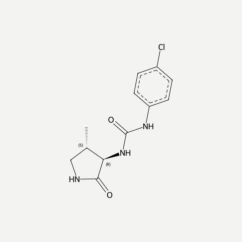 C[C@H]1CNC(=O)[C@@H]1NC(=O)Nc1ccc(Cl)cc1